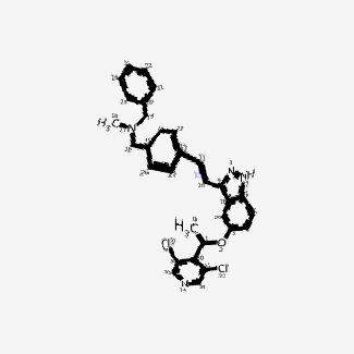 CC(Oc1ccc2[nH]nc(/C=C/C3=CCC(CN(C)Cc4ccccc4)C=C3)c2c1)c1c(Cl)cncc1Cl